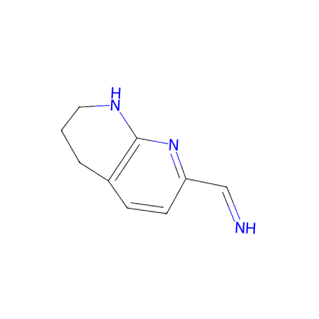 N=Cc1ccc2c(n1)NCCC2